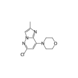 Cc1cn2nc(Cl)cc(N3CCOCC3)c2n1